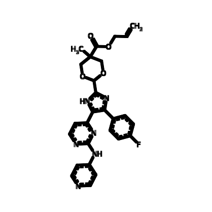 C=CCOC(=O)C1(C)COC(c2nc(-c3ccc(F)cc3)c(-c3ccnc(Nc4ccncc4)n3)[nH]2)OC1